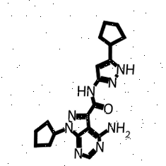 Nc1ncnc2c1c(C(=O)Nc1cc(C3CCCC3)[nH]n1)nn2C1CCCC1